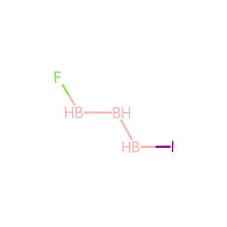 FBBBI